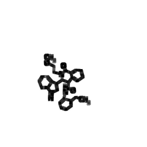 CCc1ccccc1NC(=O)C1c2ccccc2C(=O)N(CCOC)C1c1c[nH]c2ccccc12